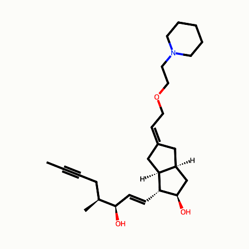 CC#CC[C@H](C)[C@H](O)C=C[C@@H]1[C@H]2CC(=CCOCCN3CCCCC3)C[C@H]2C[C@H]1O